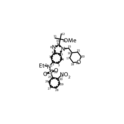 CCN(c1ccc2c(c1)nc(C(C)(C)OC)n2CC1CCOCC1)S(=O)(=O)c1ccccc1[N+](=O)[O-]